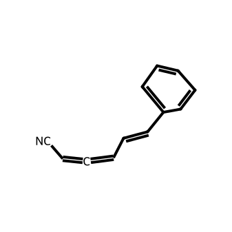 N#CC=C=CC=Cc1ccccc1